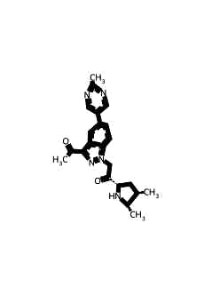 CC(=O)c1nn(CC(=O)[C@@H]2C[C@@H](C)[C@@H](C)N2)c2ccc(-c3cnc(C)nc3)cc12